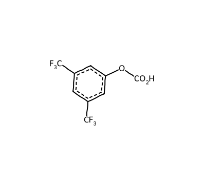 O=C(O)Oc1cc(C(F)(F)F)cc(C(F)(F)F)c1